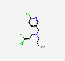 CSCCN(CC=C(Cl)Cl)Cc1ccc(Cl)nc1